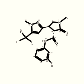 CN1C[C@H](c2cc(C(F)(F)F)n(C)n2)[C@@H](C(=O)Nc2cccc(F)n2)C1=O